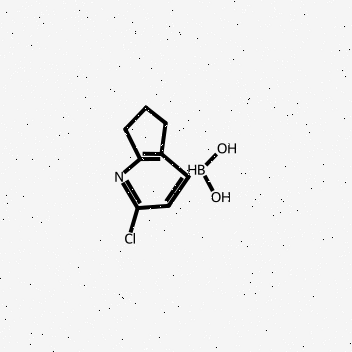 Clc1ccc2c(n1)CCC2.OBO